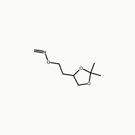 C=NOCCC1COC(C)(C)O1